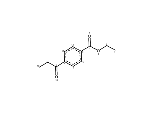 CCOC(=O)c1ccc(C(=O)CC)cc1